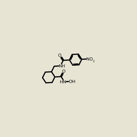 O=C(NCC1CCCCC1C(=O)NO)c1ccc([N+](=O)[O-])cc1